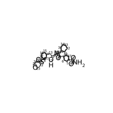 NS(=O)(=O)c1ccc(-c2oc(C(O)Cc3cccc(SC4(O)CCOCC4)c3)nc2-c2ccccc2)cc1